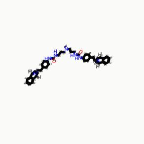 CN(CCCNC(=O)NC1CCC(CCN2[C@@H]3CC[C@H]2c2ccccc23)CC1)CCCNC(=O)NC1CCC(CCN2[C@@H]3CC[C@H]2c2ccccc23)CC1